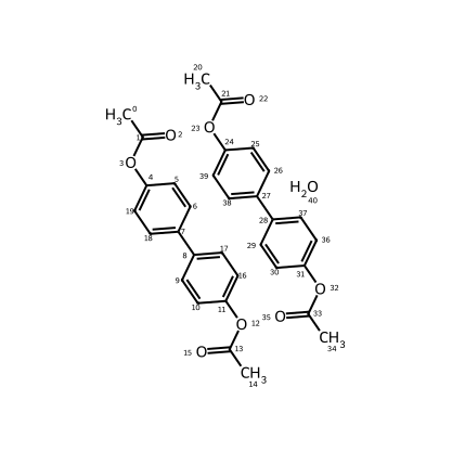 CC(=O)Oc1ccc(-c2ccc(OC(C)=O)cc2)cc1.CC(=O)Oc1ccc(-c2ccc(OC(C)=O)cc2)cc1.O